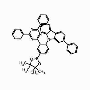 CC1(C)OB(c2ccc(-n3c4ccccc4c4ccc(-c5ccccc5)cc43)c(-c3nc(-c4ccccc4)nc(-c4ccccc4)n3)c2)OC1(C)C